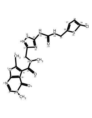 Cc1oc2ncn(C)c(=O)c2c1C(=O)N(C)Cc1nsc(NC(=O)NCc2ccc(Cl)s2)n1